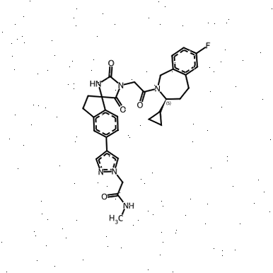 CNC(=O)Cn1cc(-c2ccc3c(c2)CCC32NC(=O)N(CC(=O)N3Cc4ccc(F)cc4CC[C@H]3C3CC3)C2=O)cn1